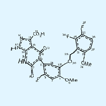 COc1cc(F)c(-n2c(=O)[nH]c3[nH]nc(C(=O)O)c3c2=O)cc1OCc1c(OC)ccc(F)c1F